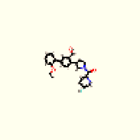 CCOc1ccccc1-c1ccc(C2CCN(C(=O)c3ccc(F)cn3)C2)c(C=O)c1